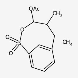 C.CC(=O)OC1OS(=O)(=O)c2cccc(c2)CC1C